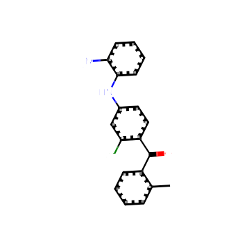 Cc1ccccc1C(=O)c1ccc(Nc2ccccc2N)cc1Cl